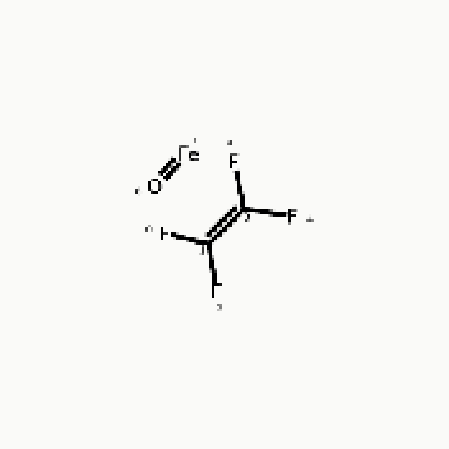 FC(F)=C(F)F.[O]=[Fe]